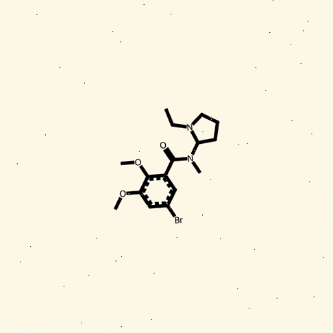 CCN1CCCC1N(C)C(=O)c1cc(Br)cc(OC)c1OC